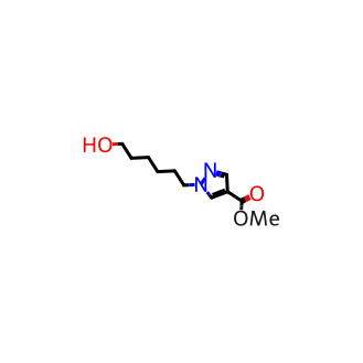 COC(=O)c1cnn(CCCCCCO)c1